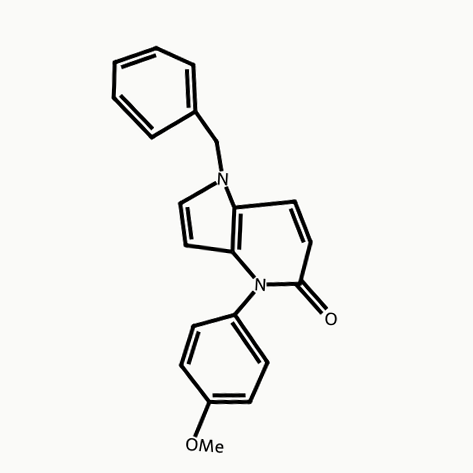 COc1ccc(-n2c(=O)ccc3c2ccn3Cc2ccccc2)cc1